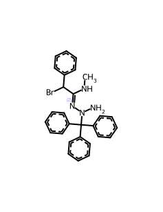 CN/C(=N\N(N)C(c1ccccc1)(c1ccccc1)c1ccccc1)C(Br)c1ccccc1